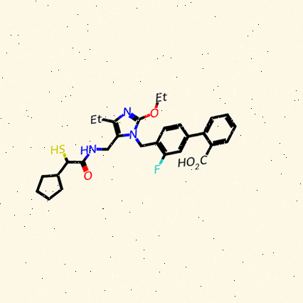 CCOc1nc(CC)c(CNC(=O)C(S)C2CCCC2)n1Cc1ccc(-c2ccccc2C(=O)O)cc1F